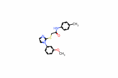 COc1cccc(-n2ccnc2SCC(=O)Nc2ccc(C)cc2)c1